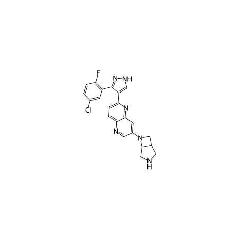 Fc1ccc(Cl)cc1-c1n[nH]cc1-c1ccc2ncc(N3CC4CNCC43)cc2n1